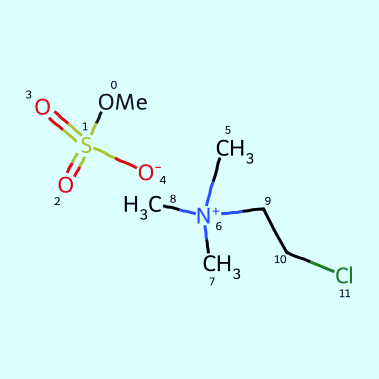 COS(=O)(=O)[O-].C[N+](C)(C)CCCl